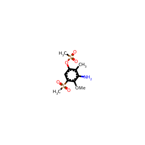 COc1c(S(C)(=O)=O)cc(OS(C)(=O)=O)c(C)c1N